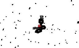 CCc1ccc(CO[Si](c2ccccc2)(c2ccccc2)C(C)(C)C)cc1